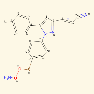 Cc1ccc(-c2cc(/C=C/C#N)nn2-c2ccc(SOON)cc2)cc1